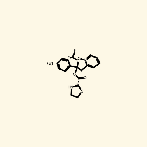 Cl.O=C(OC(Cc1cccc[n+]1[O-])(OC(F)F)c1ccccc1)[C@H]1NCCS1